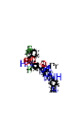 CC(C)n1c(=O)c(-c2ccc(NS(=O)(=O)CC3CCCCC3(F)F)c(F)c2)nc2cnc(NC3CCC(N(C)C)CC3)nc21